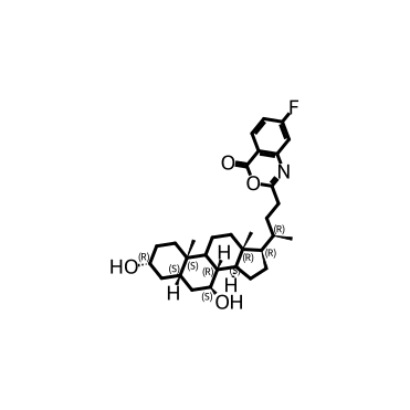 C[C@H](CCc1nc2cc(F)ccc2c(=O)o1)[C@H]1CC[C@H]2[C@H]3C(CC[C@]12C)[C@@]1(C)CC[C@@H](O)C[C@H]1C[C@@H]3O